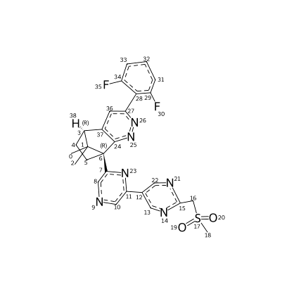 CC1(C)[C@H]2CC[C@@]1(c1cncc(-c3cnc(CS(C)(=O)=O)nc3)n1)c1nnc(-c3c(F)cccc3F)cc12